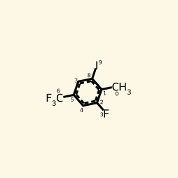 Cc1c(F)cc(C(F)(F)F)cc1I